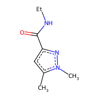 CCNC(=O)c1cc(C)n(C)n1